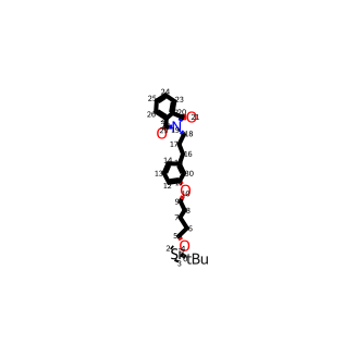 CC(C)(C)[Si](C)(C)OCCCCCOc1cccc(CCCN2C(=O)c3ccccc3C2=O)c1